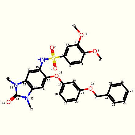 COc1ccc(S(=O)(=O)Nc2cc3c(cc2Oc2cccc(OCc4ccccc4)c2)n(C)c(=O)n3C)cc1OC